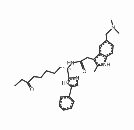 CCC(=O)CCCCC[C@H](NC(=O)Cc1c(C)[nH]c2ccc(CN(C)C)cc12)c1ncc(-c2ccccc2)[nH]1